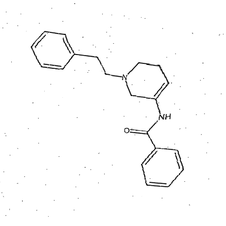 O=C(NC1=[C]CCN(CCc2ccccc2)C1)c1ccccc1